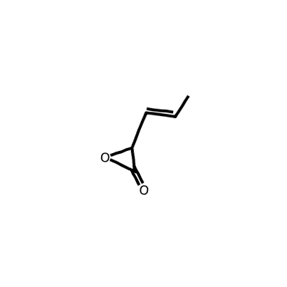 CC=CC1OC1=O